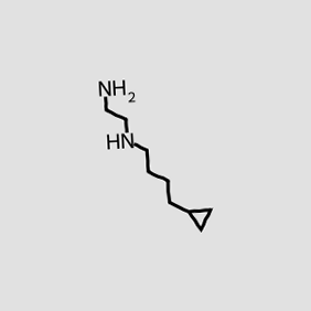 NCCNCCCCC1CC1